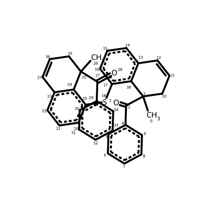 CC1(C(=O)c2ccccc2)CC=Cc2cccc(Sc3cccc4c3C(C)(C(=O)c3ccccc3)CC=C4)c21